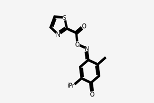 CC1=CC(=O)C(C(C)C)=C/C1=N\OC(=O)c1nccs1